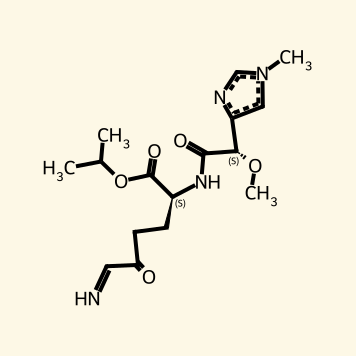 CO[C@H](C(=O)N[C@@H](CCC(=O)C=N)C(=O)OC(C)C)c1cn(C)cn1